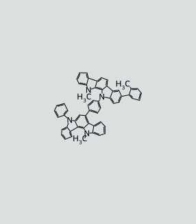 Cc1ccccc1-c1ccc2c(c1)c1ccc3c4ccccc4n(C)c3c1n2-c1ccc(-c2cc3c(c4ccccc4n3-c3ccccc3)c3c2c2ccccc2n3C)cc1